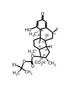 CCC(C)(C)OC(=O)O[C@]1(C(=O)O)[C@H](C)C[C@H]2[C@@H]3C[C@H](F)C4=CC(=O)C=C(O)[C@]4(C)[C@@]3(F)CC[C@@]21C